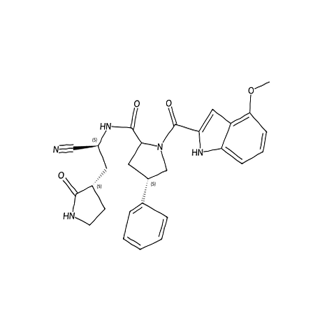 COc1cccc2[nH]c(C(=O)N3C[C@H](c4ccccc4)CC3C(=O)N[C@H](C#N)C[C@@H]3CCNC3=O)cc12